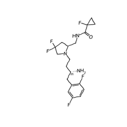 N[C@@H](CCN1CC(F)(F)CC1CNC(=O)C1(F)CC1)Cc1cc(F)ccc1F